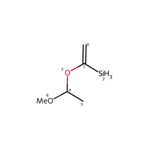 C=C([SiH3])OC(C)OC